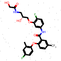 Cc1cc(F)ccc1Oc1ccc(C(F)(F)F)cc1C(=O)Nc1ccc(F)c(OC[C@H](O)CNC(=O)CO)c1